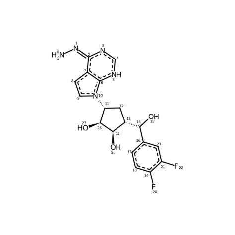 N/N=c1/nc[nH]c2c1ccn2[C@@H]1C[C@H](C(O)c2ccc(F)c(F)c2)[C@@H](O)[C@H]1O